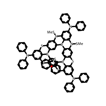 CSN1c2cc3c(cc2B2c4cc5c(cc4N(SC)c4cc(N(c6ccccc6)c6ccccc6)cc1c42)Sc1cc(N(c2ccccc2)c2ccccc2)cc2c1B5c1sc4ccccc4c1S2)B1c2sc4ccccc4c2Sc2cc(N(c4ccccc4)c4ccccc4)cc(c21)S3